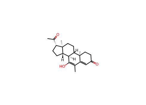 CC(=O)[C@H]1CC[C@H]2[C@@H]3C(O)=C(C)C4=CC(=O)CC[C@]4(C)[C@H]3CC[C@]12C